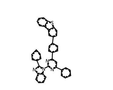 c1ccc(-c2cc(-c3ccc(-c4ccc5sc6ccccc6c5c4)cc3)nc(-n3c(-c4ccccc4)nc4ccccc43)n2)cc1